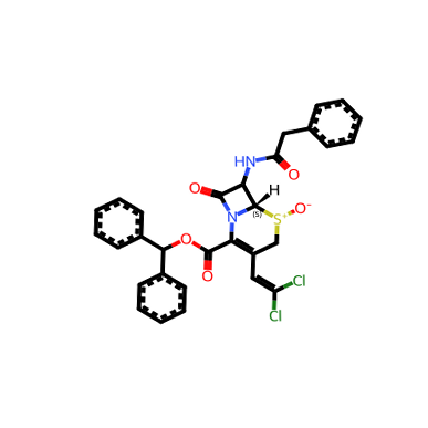 O=C(Cc1ccccc1)NC1C(=O)N2C(C(=O)OC(c3ccccc3)c3ccccc3)=C(C=C(Cl)Cl)C[S+]([O-])[C@@H]12